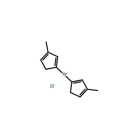 CC1=CC[C]([Ti+][C]2=CC(C)=CC2)=C1.[Cl-]